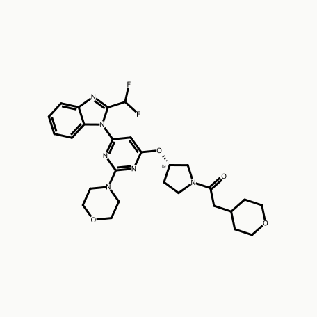 O=C(CC1CCOCC1)N1CC[C@H](Oc2cc(-n3c(C(F)F)nc4ccccc43)nc(N3CCOCC3)n2)C1